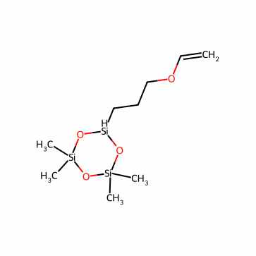 C=COCCC[SiH]1O[Si](C)(C)O[Si](C)(C)O1